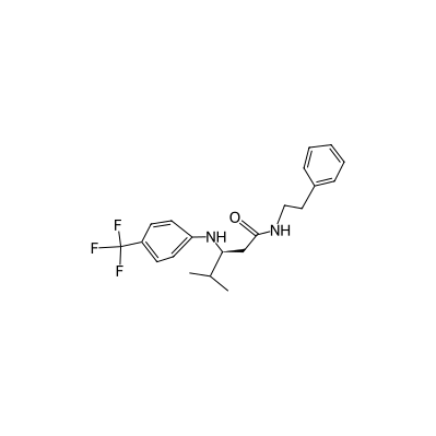 CC(C)[C@H](CC(=O)NCCc1ccccc1)Nc1ccc(C(F)(F)F)cc1